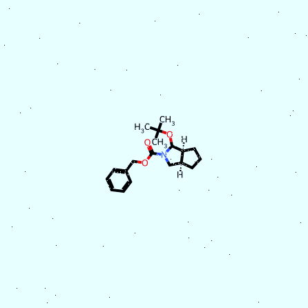 CC(C)(C)OC1[C@H]2CCC[C@H]2CN1C(=O)OCc1ccccc1